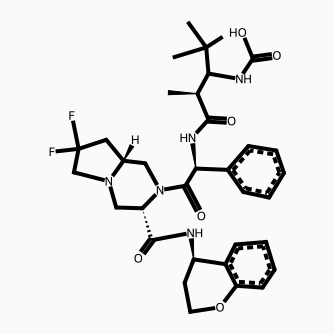 C[C@H](C(=O)N[C@H](C(=O)N1C[C@H]2CC(F)(F)CN2C[C@H]1C(=O)N[C@@H]1CCOc2ccccc21)c1ccccc1)C(NC(=O)O)C(C)(C)C